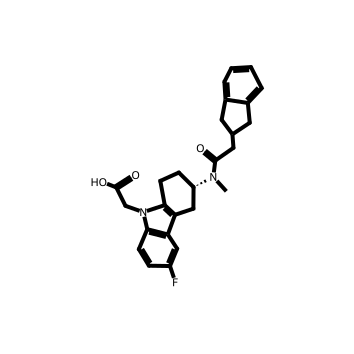 CN(C(=O)CC1Cc2ccccc2C1)[C@H]1CCc2c(c3cc(F)ccc3n2CC(=O)O)C1